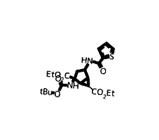 CCOC(=O)[C@H]1C2C(NC(=O)c3cccs3)CC(NC(=O)OC(C)(C)C)(C(=O)OCC)C21